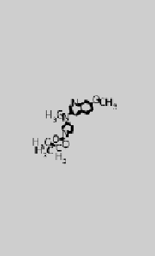 COc1ccc2cc(N(C)[C@H]3CCN(C(=O)OC(C)(C)C)C3)cnc2c1